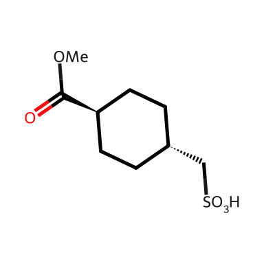 COC(=O)[C@H]1CC[C@H](CS(=O)(=O)O)CC1